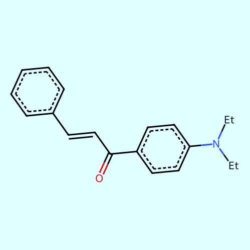 CCN(CC)c1ccc(C(=O)C=Cc2ccccc2)cc1